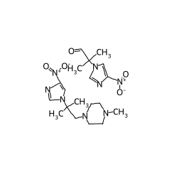 CC(C)(C=O)n1cnc([N+](=O)[O-])c1.CN1CCN(CC(C)(C)n2cnc([N+](=O)[O-])c2)CC1